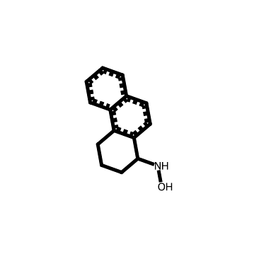 ONC1CCCc2c1ccc1ccccc21